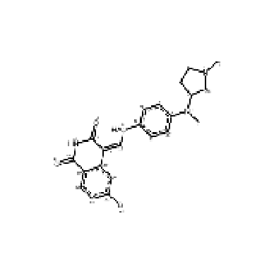 CN1CCC(N(C)c2ccc([AsH]C=C3C(=O)NC(=O)c4ccc(Br)cc43)cc2)C1